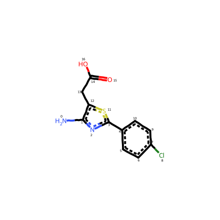 Nc1nc(-c2ccc(Cl)cc2)sc1CC(=O)O